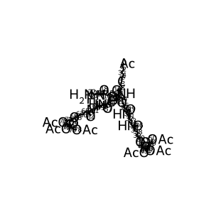 CC(=O)CCCCCCCCC(=O)NC(COCCC(=O)NCCCN)(COCCC(=O)NCCCNC(=O)CCCCO[C@H]1C[C@@H](OC(C)=O)[C@@H](OC(C)=O)[C@@H](COC(C)=O)O1)COCCC(=O)NCCCNC(=O)CCCCO[C@H]1C[C@@H](OC(C)=O)[C@@H](OC(C)=O)[C@@H](COC(C)=O)O1